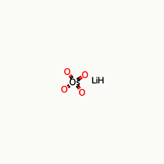 [LiH].[O]=[Os](=[O])(=[O])=[O]